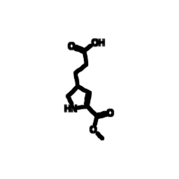 COC(=O)C1=CC(CCC(=O)O)CN1